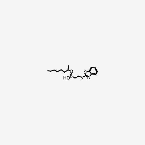 CCCCCCC(C)OB(O)CCSc1nc2ccccc2s1